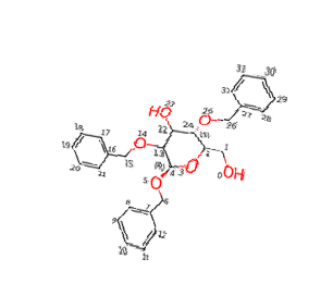 OCC1O[C@@H](OCc2ccccc2)C(OCc2ccccc2)C(O)[C@@H]1OCc1ccccc1